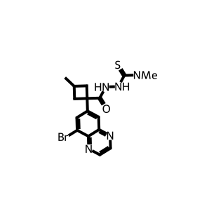 CNC(=S)NNC(=O)C1(c2cc(Br)c3nccnc3c2)CC(C)C1